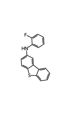 Fc1ccccc1Nc1ccc2sc3ccccc3c2c1